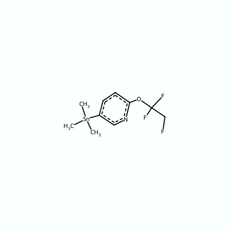 [CH3][Sn]([CH3])([CH3])[c]1ccc(OC(F)(F)CF)nc1